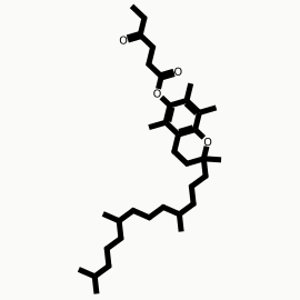 CCC(=O)CCC(=O)Oc1c(C)c(C)c2c(c1C)CCC(C)(CCCC(C)CCCC(C)CCCC(C)C)O2